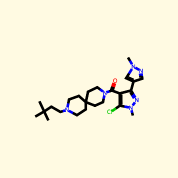 Cn1cc(-c2nn(C)c(Cl)c2C(=O)N2CCC3(CCN(CCC(C)(C)C)CC3)CC2)cn1